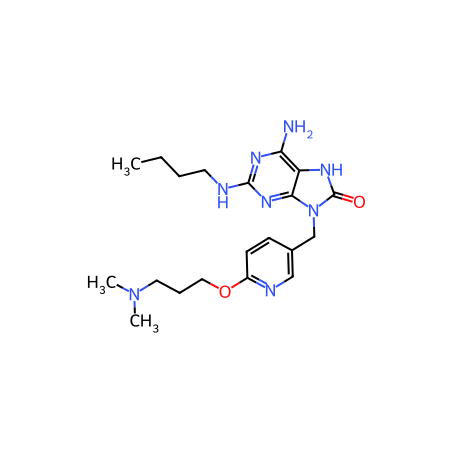 CCCCNc1nc(N)c2[nH]c(=O)n(Cc3ccc(OCCCN(C)C)nc3)c2n1